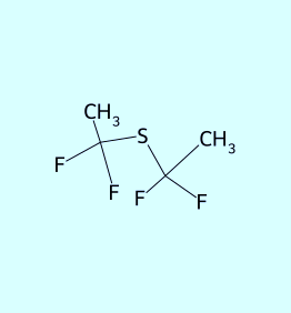 CC(F)(F)SC(C)(F)F